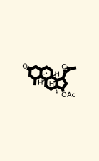 CC(=O)OC1CC(C2OC2C)[C@H]2[C@@H]3CCC4CC(=O)CC(C)[C@]4(C)[C@@H]3CC[C@]12C